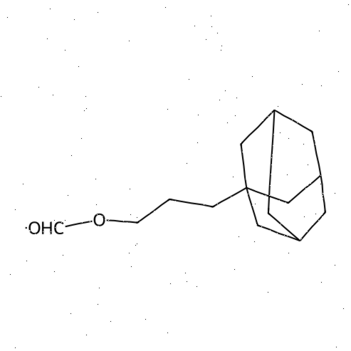 O=[C]OCCCC12CC3CC(CC(C3)C1)C2